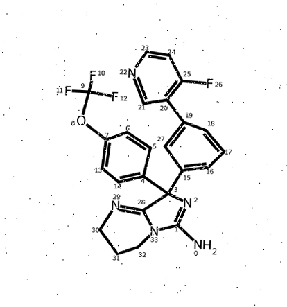 NC1=NC(c2ccc(OC(F)(F)F)cc2)(c2cccc(-c3cnccc3F)c2)C2=NCCCN12